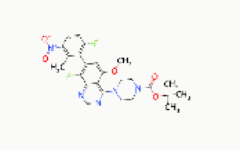 COc1cc(-c2c(F)ccc([N+](=O)[O-])c2C)c(F)c2ncnc(N3CCN(C(=O)OC(C)(C)C)CC3)c12